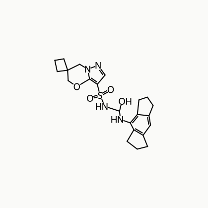 O=S(=O)(NC(O)Nc1c2c(cc3c1CCC3)CCC2)c1cnn2c1OCC1(CCC1)C2